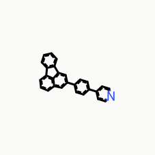 c1ccc2c(c1)-c1cccc3cc(-c4ccc(-c5ccncc5)cc4)cc-2c13